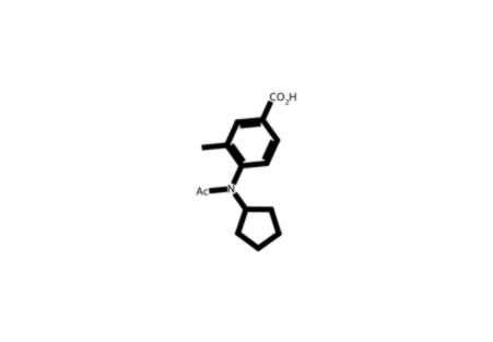 CC(=O)N(c1ccc(C(=O)O)cc1C)C1CCCC1